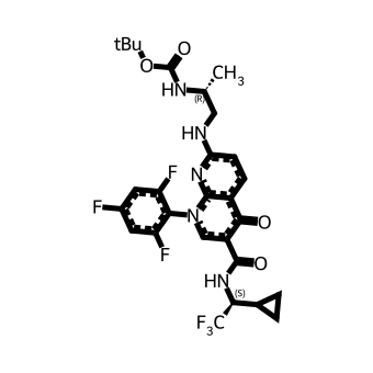 C[C@H](CNc1ccc2c(=O)c(C(=O)N[C@@H](C3CC3)C(F)(F)F)cn(-c3c(F)cc(F)cc3F)c2n1)NC(=O)OC(C)(C)C